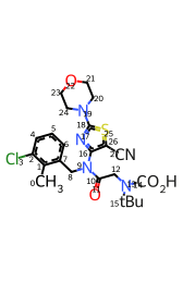 Cc1c(Cl)cccc1CN(C(=O)CN(C(=O)O)C(C)(C)C)c1nc(N2CCOCC2)sc1C#N